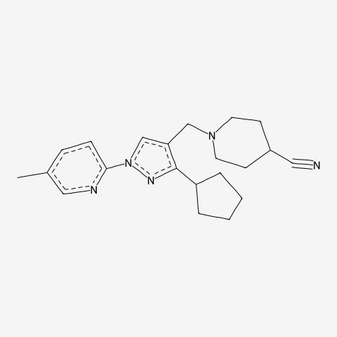 Cc1ccc(-n2cc(CN3CCC(C#N)CC3)c(C3CCCC3)n2)nc1